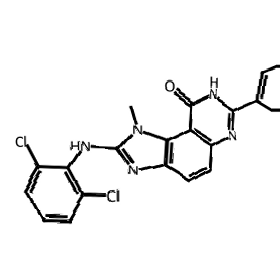 CC=C(C)c1nc2ccc3nc(Nc4c(Cl)cccc4Cl)n(C)c3c2c(=O)[nH]1